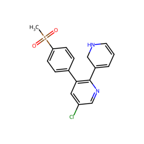 CS(=O)(=O)c1ccc(-c2cc(Cl)cnc2C2=CC=CNC2)cc1